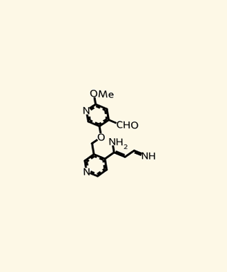 COc1cc(C=O)c(OCc2cnccc2/C(N)=C/C=N)cn1